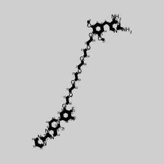 COc1cc(Cc2cnc(N)nc2N)cc(OC)c1OCCOCCOCCOCCOCCOCCOc1cc(N2CCc3nc(-c4ncccn4)ncc3[C@H]2C)cc(F)c1F